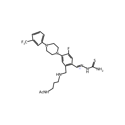 CC(=O)NCCCNCc1cc(N2CCN(c3cccc(C(F)(F)F)c3)CC2)c(F)cc1/C=N/NC(N)=S